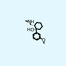 CNC[C@@H]1CCCC[C@@]1(O)c1cccc(OC)c1